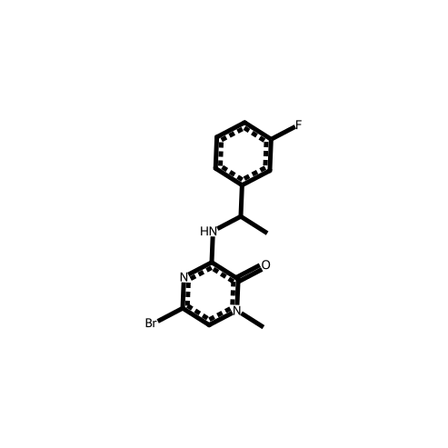 CC(Nc1nc(Br)cn(C)c1=O)c1cccc(F)c1